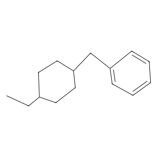 CCC1CCC(Cc2ccccc2)CC1